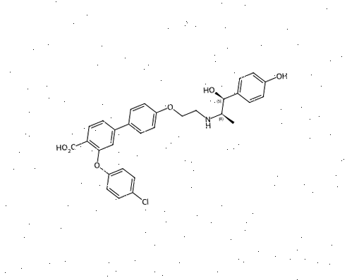 C[C@@H](NCCOc1ccc(-c2ccc(C(=O)O)c(Oc3ccc(Cl)cc3)c2)cc1)[C@@H](O)c1ccc(O)cc1